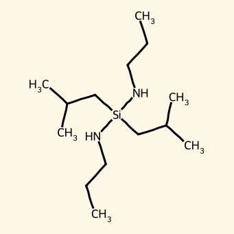 CCCN[Si](CC(C)C)(CC(C)C)NCCC